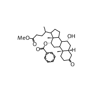 COC(=O)CCC(C)C1CCC2C3C(C[C@H](OC(=O)c4ccccc4)[C@]12C)[C@@]1(C)CCC(=O)C[C@H]1C[C@H]3O